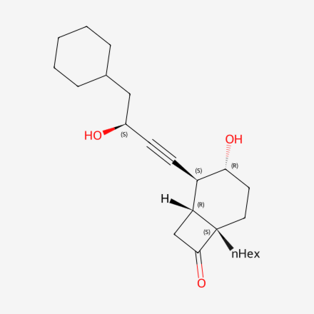 CCCCCC[C@]12CC[C@@H](O)[C@H](C#C[C@@H](O)CC3CCCCC3)[C@H]1CC2=O